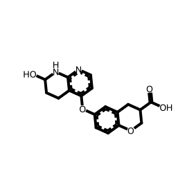 O=C(O)C1COc2ccc(Oc3ccnc4c3CCC(O)N4)cc2C1